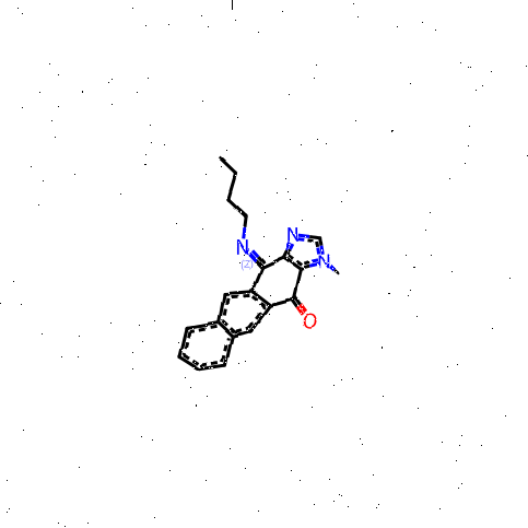 CCCC/N=C1/c2cc3ccccc3cc2C(=O)c2c1ncn2C